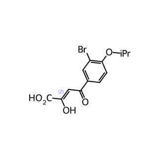 CC(C)Oc1ccc(C(=O)/C=C(\O)C(=O)O)cc1Br